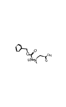 CN(CC(=O)O)NC(=O)OCc1ccccc1